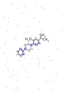 Cc1cc(C(C)C)nnc1N1CCN(c2ncccn2)CC1